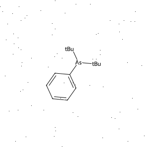 CC(C)(C)[As](c1ccccc1)C(C)(C)C